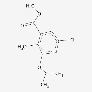 COC(=O)c1cc(Cl)cc(OC(C)C)c1C